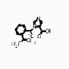 CC(=O)c1ccccc1[C@H](C)n1cncc1C(=O)O